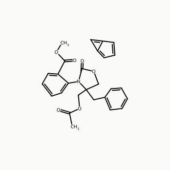 COC(=O)c1ccccc1N1C(=O)OCC1(COC(C)=O)Cc1ccccc1.c1cc2cc-2c1